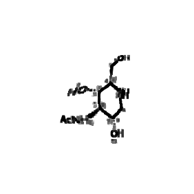 CC(=O)N[C@H]1[C@H](O)[C@@H](CO)NC[C@@H]1O